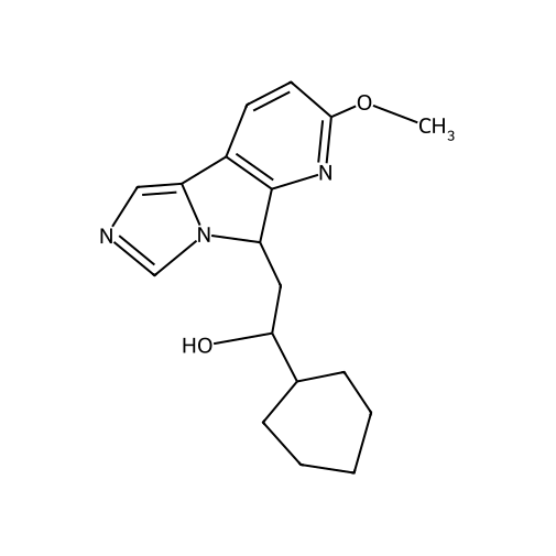 COc1ccc2c(n1)C(CC(O)C1CCCCC1)n1cncc1-2